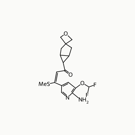 CSC(=CC(=O)C1C2CC3(COC3)CC21)c1cnc(N)c(OC(F)F)c1